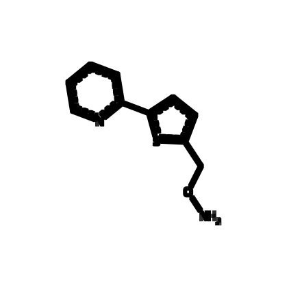 NOCc1ccc(-c2ccccn2)s1